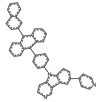 c1ccc2cc(-c3c4ccccc4c(-c4ccc(-n5c6ccncc6c6cc(-c7ccncc7)ccc65)cc4)c4ccccc34)ccc2c1